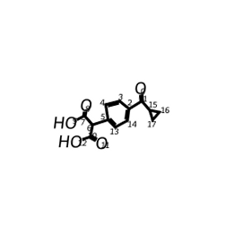 O=C(c1ccc(C(C(=O)O)C(=O)O)cc1)C1CC1